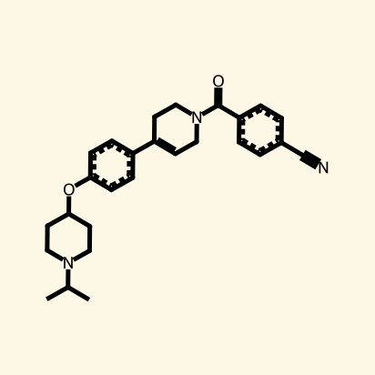 CC(C)N1CCC(Oc2ccc(C3=CCN(C(=O)c4ccc(C#N)cc4)CC3)cc2)CC1